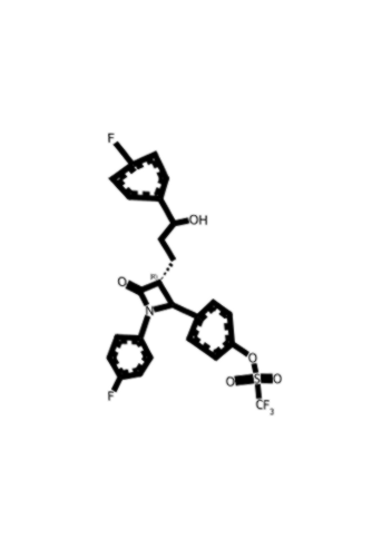 O=C1[C@H](CCC(O)c2ccc(F)cc2)C(c2ccc(OS(=O)(=O)C(F)(F)F)cc2)N1c1ccc(F)cc1